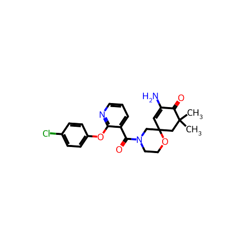 CC1(C)CC2(C=C(N)C1=O)CN(C(=O)c1cccnc1Oc1ccc(Cl)cc1)CCO2